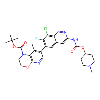 Cc1c(-c2cc3cc(NC(=O)OC4CCN(C)CC4)ncc3c(Cl)c2F)cnc2c1N(C(=O)OC(C)(C)C)CCO2